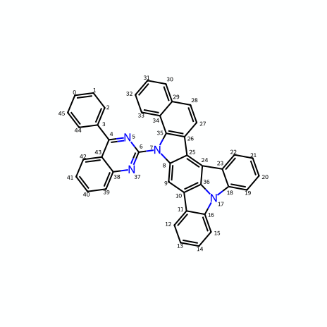 c1ccc(-c2nc(-n3c4cc5c6ccccc6n6c7ccccc7c(c4c4ccc7ccccc7c43)c56)nc3ccccc23)cc1